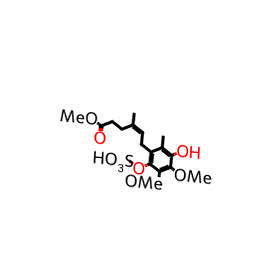 COC(=O)CCC(C)=CCc1c(C)c(O)c(OC)c(OC)c1OS(=O)(=O)O